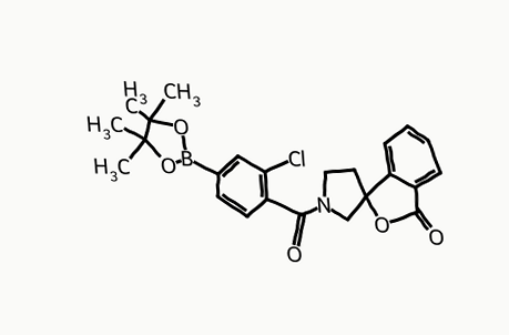 CC1(C)OB(c2ccc(C(=O)N3CCC4(C3)OC(=O)c3ccccc34)c(Cl)c2)OC1(C)C